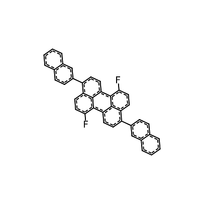 Fc1ccc2c(-c3ccc4ccccc4c3)ccc3c4c(F)ccc5c(-c6ccc7ccccc7c6)ccc(c1c23)c54